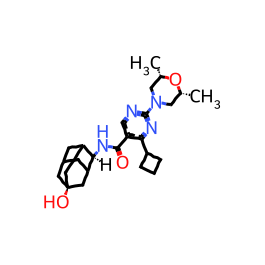 C[C@@H]1CN(c2ncc(C(=O)N[C@H]3C4CC5CC3C[C@@](O)(C5)C4)c(C3CCC3)n2)C[C@H](C)O1